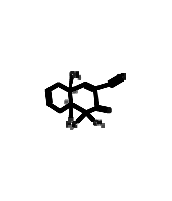 CC1(C)C(=O)C(C#N)=C[C@]2(C)CC=CC[C@@H]12